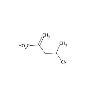 C=C(CC(C)C#N)C(=O)O